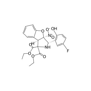 CCOC(=O)C1(C(=O)OCC)N[C@@H](c2cc(F)ccc2O)[C@]2([N+](=O)[O-])Oc3ccccc3[C@H]12